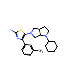 Nc1nc(-c2cccc(C(F)(F)F)c2)c(N2CC3CCN(C4CCCCC4)C3C2)s1